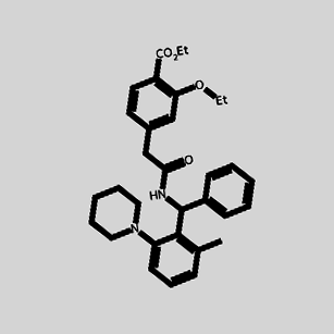 CCOC(=O)c1ccc(CC(=O)NC(c2ccccc2)c2c(C)cccc2N2CCCCC2)cc1OCC